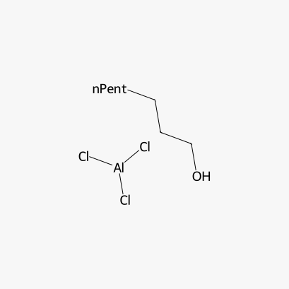 CCCCCCCCO.[Cl][Al]([Cl])[Cl]